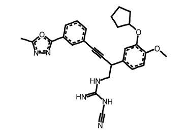 COc1ccc(C(C#Cc2cccc(-c3nnc(C)o3)c2)CNC(=N)NC#N)cc1OC1CCCC1